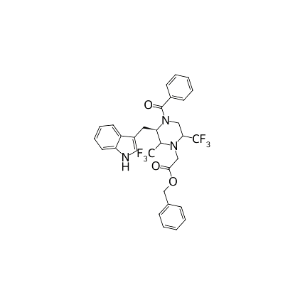 O=C(CN1C(C(F)(F)F)CN(C(=O)c2ccccc2)[C@H](Cc2c[nH]c3ccccc23)C1C(F)(F)F)OCc1ccccc1